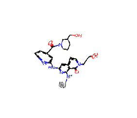 CC(C)(C)Nc1nc(Nc2cc(C(=O)N3CCCC(CO)C3)ccn2)cc2ccn(CCO)c(=O)c12